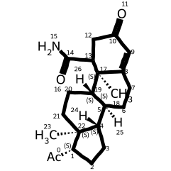 CC(=O)[C@H]1CC[C@H]2[C@@H]3CCC4=CC(=O)CC(C(N)=O)[C@]4(C)[C@H]3CC[C@]12C